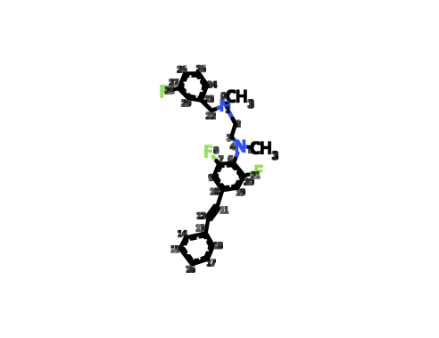 CN(CCN(C)c1c(F)cc(C#Cc2ccccc2)cc1F)Cc1cccc(F)c1